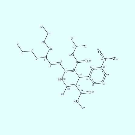 CCCCN(C=NC1=C(C(=O)OC(C)C)C(c2cccc([N+](=O)[O-])c2)C(C(=O)OC)=C(C)N1)CCCC